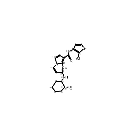 O=C(Nc1ccsc1Cl)c1cnn2ccc(N[C@@H]3CCCC[C@@H]3O)nc12